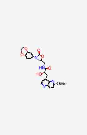 COc1ccc2nccc(CC(O)C(=O)NCC3CN(c4ccc5c(c4)OCCO5)C(=O)O3)c2n1